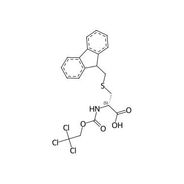 O=C(N[C@H](CSCC1c2ccccc2-c2ccccc21)C(=O)O)OCC(Cl)(Cl)Cl